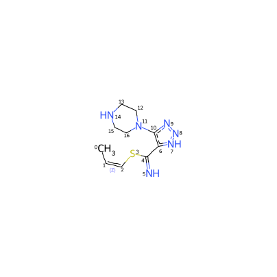 C/C=C\SC(=N)c1[nH]nnc1N1CCNCC1